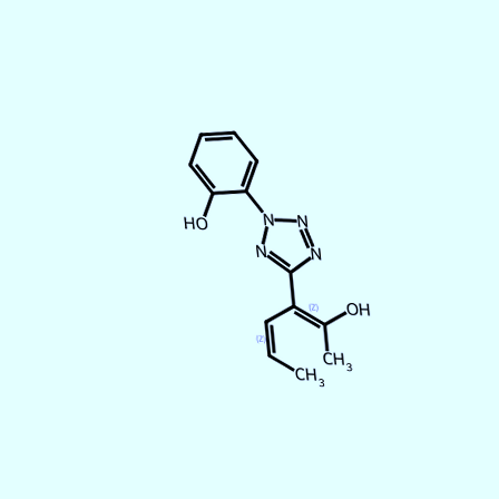 C/C=C\C(=C(/C)O)c1nnn(-c2ccccc2O)n1